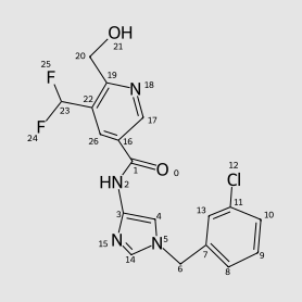 O=C(Nc1cn(Cc2cccc(Cl)c2)cn1)c1cnc(CO)c(C(F)F)c1